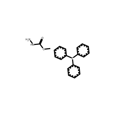 COC(=O)NN.c1ccc(P(c2ccccc2)c2ccccc2)cc1